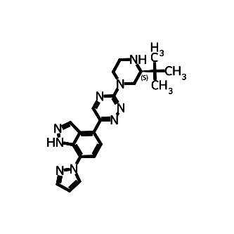 CC(C)(C)[C@H]1CN(c2ncc(-c3ccc(-n4cccn4)c4[nH]ncc34)nn2)CCN1